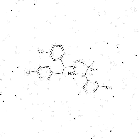 C[C@H]([AsH][C@@H](c1cccc(C(F)(F)F)c1)C(C)(C)C#N)C(Cc1ccc(Cl)cc1)c1cccc(C#N)c1